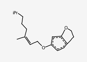 CC(=CCOc1ccc2c(c1)OCC2)CCCC(C)C